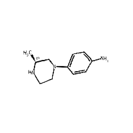 C[C@H]1CN(c2ccc(N)cc2)CCN1